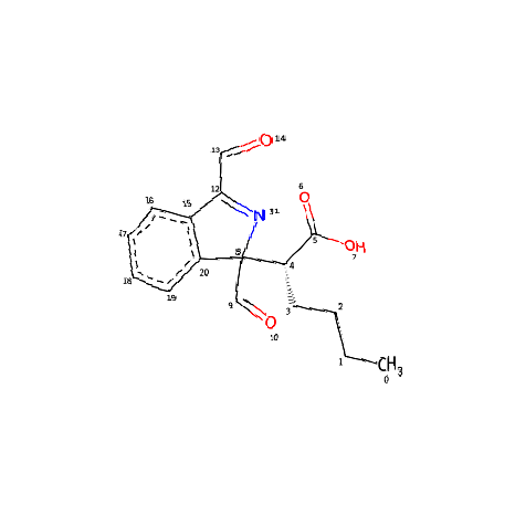 CCCC[C@@H](C(=O)O)C1(C=O)N=C(C=O)c2ccccc21